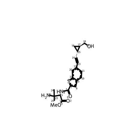 COC(=O)[C@@H](NC(=O)c1cc2ccc(C#C[C@@H]3C[C@H]3CO)cc2s1)C(C)(C)N